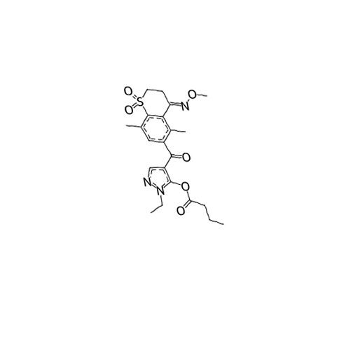 CCCC(=O)Oc1c(C(=O)c2cc(C)c3c(c2C)C(=NOC)CCS3(=O)=O)cnn1CC